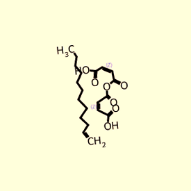 C=CCCCCCCCCCC.O=C(O)/C=C\C(=O)OC(=O)/C=C\C(=O)O